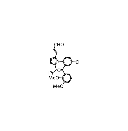 COc1cccc(C(=O)c2cc(Cl)ccc2-n2c(/C=C/C=O)ccc2CC(C)C)c1OC